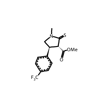 COC(=O)[C@H]1C(=S)N(C)C[C@@H]1c1ccc(C(F)(F)F)cc1